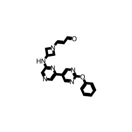 O=CC=CN1CC(Nc2cncc(-c3cnc(Oc4ccccc4)nc3)n2)C1